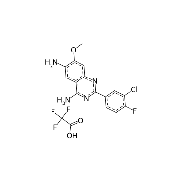 COc1cc2nc(-c3ccc(F)c(Cl)c3)nc(N)c2cc1N.O=C(O)C(F)(F)F